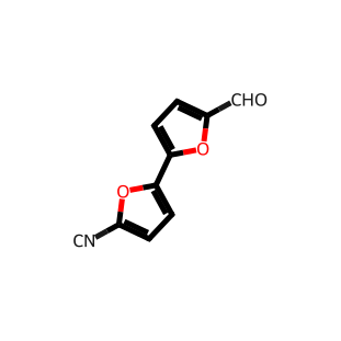 [C-]#[N+]c1ccc(-c2ccc(C=O)o2)o1